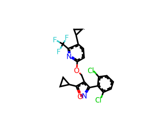 FC(F)(F)c1nc(OCc2c(-c3c(Cl)cccc3Cl)noc2C2CC2)ccc1C1[CH]C1